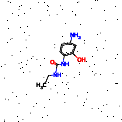 CCNC(=O)Nc1ccc(N)cc1O